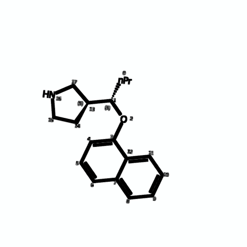 CCC[C@H](Oc1cccc2ccccc12)[C@H]1CCNC1